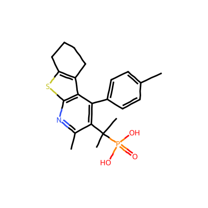 Cc1ccc(-c2c(C(C)(C)P(=O)(O)O)c(C)nc3sc4c(c23)CCCC4)cc1